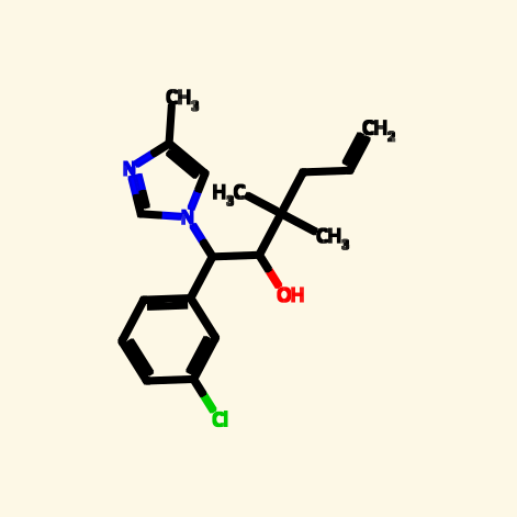 C=CCC(C)(C)C(O)C(c1cccc(Cl)c1)n1cnc(C)c1